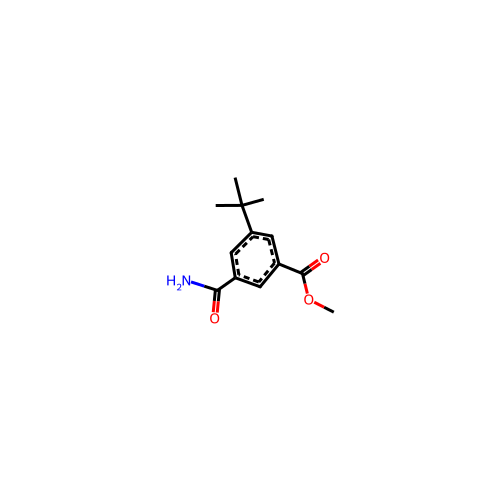 COC(=O)c1cc(C(N)=O)cc(C(C)(C)C)c1